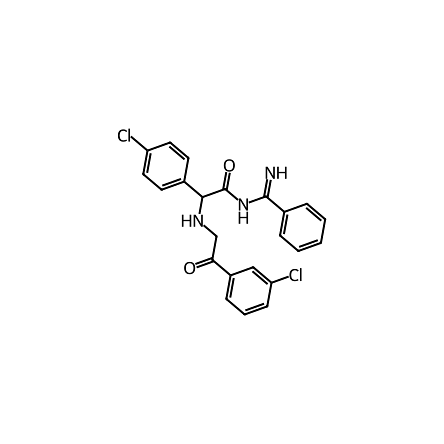 N=C(NC(=O)C(NCC(=O)c1cccc(Cl)c1)c1ccc(Cl)cc1)c1ccccc1